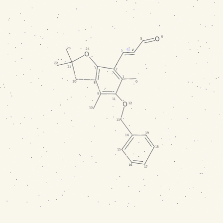 Cc1c(/C=C/C=O)c2c(c(C)c1OCc1ccccc1)CC(C)(C)O2